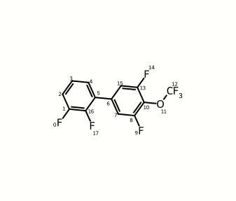 Fc1cccc(-c2cc(F)c(OC(F)(F)F)c(F)c2)c1F